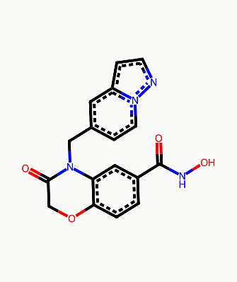 O=C(NO)c1ccc2c(c1)N(Cc1ccn3nccc3c1)C(=O)CO2